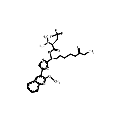 CCC(=O)CCCCC[C@H](NC(=O)[C@H](CC(F)(F)F)N(C)C)c1ncc(-c2cc3ccccc3nc2OC)o1